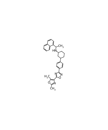 Cc1nc(-c2nc(-c3ccc(C4CCCC(NC(C)c5cccc6ccccc56)C4)cc3)no2)c(C)o1